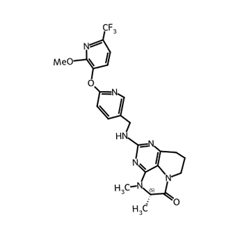 COc1nc(C(F)(F)F)ccc1Oc1ccc(CNc2nc3c4c(n2)N(C)[C@@H](C)C(=O)N4CCC3)cn1